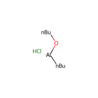 CCCC[O][Al][CH2]CCC.Cl